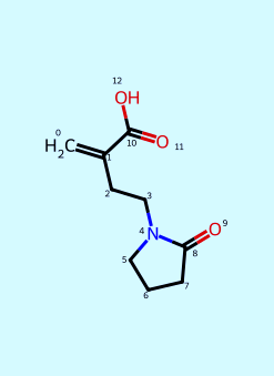 C=C(CCN1CCCC1=O)C(=O)O